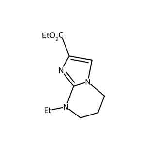 CCOC(=O)c1cn2c(n1)N(CC)CCC2